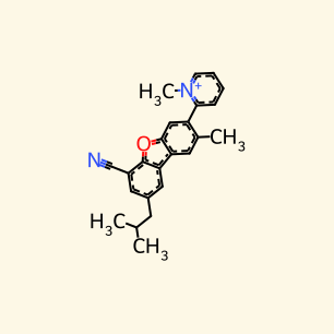 Cc1cc2c(cc1-c1cccc[n+]1C)oc1c(C#N)cc(CC(C)C)cc12